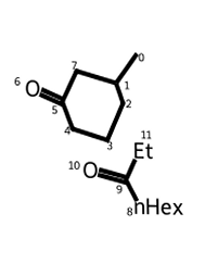 CC1CCCC(=O)C1.CCCCCCC(=O)CC